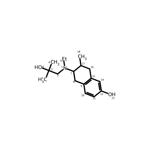 CCN(CC(C)(C)O)C1Cc2ccc(O)cc2CC1C